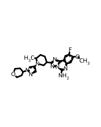 COc1cc2nc(N)n3nc(C4CCC(C)N(c5cnn(C6CCOCC6)c5)C4)nc3c2cc1F